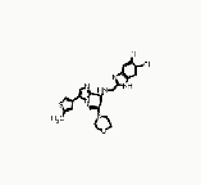 Cc1cc(-c2cnc3c(NCc4nc5cc(Cl)c(Cl)cc5[nH]4)cc(N4CCOCC4)nn23)cs1